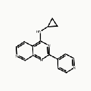 c1cc(-c2nc(NC3CC3)c3ccncc3n2)ccn1